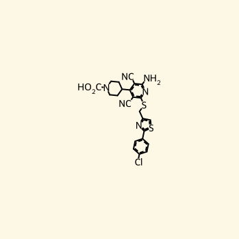 N#Cc1c(N)nc(SCc2csc(-c3ccc(Cl)cc3)n2)c(C#N)c1C1CCN(C(=O)O)CC1